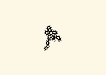 c1ccc(-c2nc(-c3ccc4c(c3)oc3ccccc34)nc(-c3ccc4c(oc5ccccc54)c3C3CCc4cc5ccccc5cc4-c4ccccc43)n2)cc1